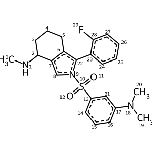 CNC1CCCc2c1cn(S(=O)(=O)c1cccc(N(C)C)c1)c2-c1ccccc1F